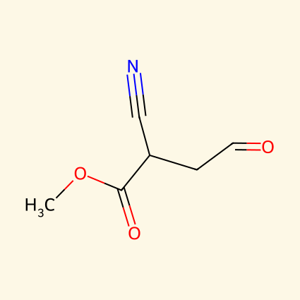 COC(=O)C(C#N)CC=O